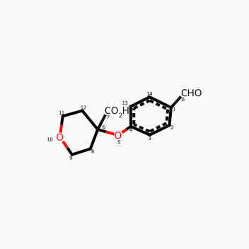 O=Cc1ccc(OC2(C(=O)O)CCOCC2)cc1